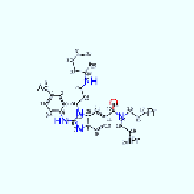 CC(=O)c1ccc(Nc2nc3ccc(C(=O)N(CCC(C)C)CCC(C)C)cc3n2CCCNC2CCCCC2)cc1